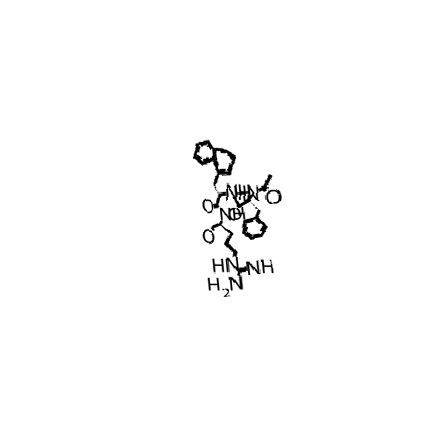 CC(=O)N[C@H](Cc1ccccc1)C(=O)N[C@@H](Cc1cccc2ccccc12)C(=O)N[C@H](C=O)CCCNC(=N)N